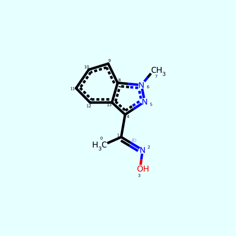 C/C(=N\O)c1nn(C)c2ccccc12